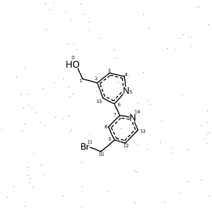 OCc1ccnc(-c2cc(CBr)ccn2)c1